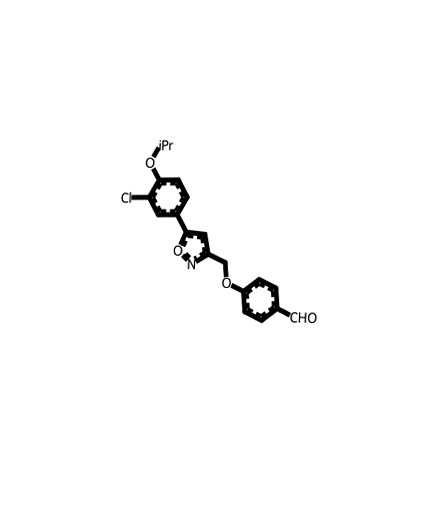 CC(C)Oc1ccc(-c2cc(COc3ccc(C=O)cc3)no2)cc1Cl